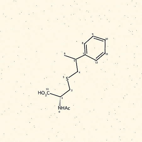 CC(=O)N[C@@H](CSCC(C)c1ccccc1)C(=O)O